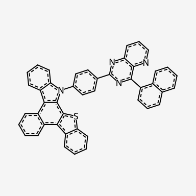 c1ccc2c(-c3nc(-c4ccc(-n5c6ccccc6c6c7ccccc7c7c8ccccc8sc7c65)cc4)nc4cccnc34)cccc2c1